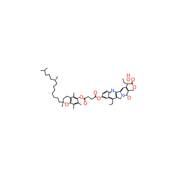 CCc1c2c(nc3ccc(OC(=O)CCC(=O)Oc4c(C)c(C)c5c(c4C)CC[C@@](C)(CCC[C@H](C)CCC[C@H](C)CCCC(C)C)O5)cc13)-c1cc3c(c(=O)n1C2)COC(=O)[C@]3(O)CC